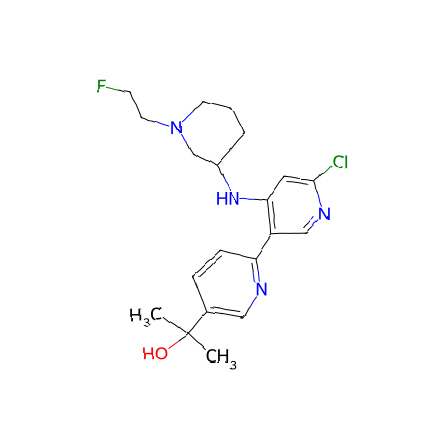 CC(C)(O)c1ccc(-c2cnc(Cl)cc2NC2CCCN(CCF)C2)nc1